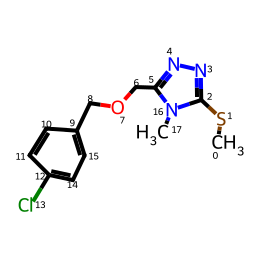 CSc1nnc(COCc2ccc(Cl)cc2)n1C